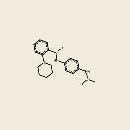 C[S+]([O-])Nc1ccc(N[S+]([O-])c2ccccc2N2CCCCC2)cc1